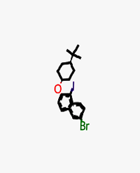 CC(C)(C)[C@H]1CC[C@H](Oc2ccc3cc(Br)ccc3c2I)CC1